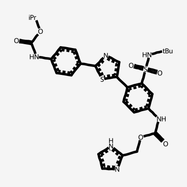 CC(C)OC(=O)Nc1ccc(-c2ncc(-c3ccc(NC(=O)OCc4ncc[nH]4)cc3S(=O)(=O)NC(C)(C)C)s2)cc1